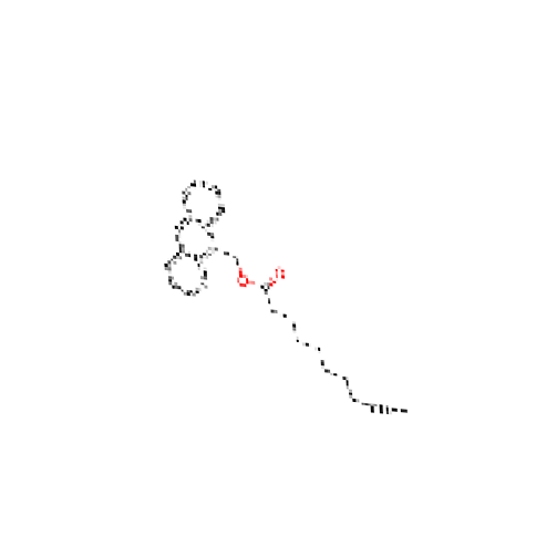 CCCCCCCCCCCCCCCCCC(=O)OCc1c2ccccc2cc2ccccc12